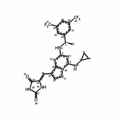 C[C@@H](Nc1nc(NC2CC2)n2ncc(/C=C3\NC(=O)NC3=O)c2n1)c1cc(C(F)(F)F)cc(C(F)(F)F)c1